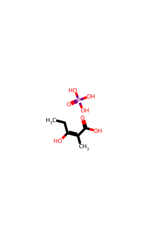 CC/C(O)=C(/C)C(=O)O.O=P(O)(O)O